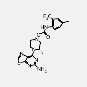 Cc1ccc(NC(=O)ON2CCN(c3nc(N)nc4scnc34)[C@@H](C)C2)c(C(F)(F)F)c1